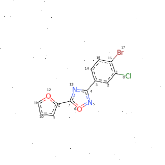 Clc1cc(-c2noc(-c3ccco3)n2)ccc1Br